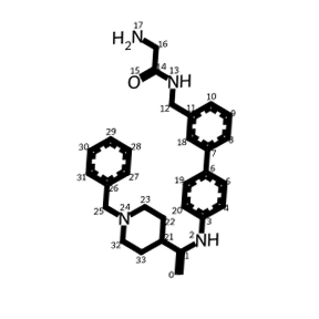 C=C(Nc1ccc(-c2cccc(CNC(=O)CN)c2)cc1)C1CCN(Cc2ccccc2)CC1